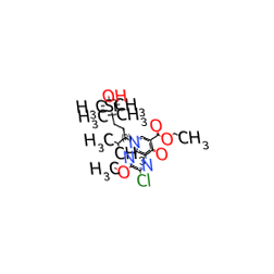 CCOC(=O)c1cn([C@H](CCC(C)(C)[Si](C)(C)O)C(C)C)c2nc(OC)c(Cl)nc2c1=O